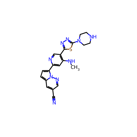 CNc1cc(-c2ccc3cc(C#N)cnn23)ncc1-c1nnc(N2CCNCC2)s1